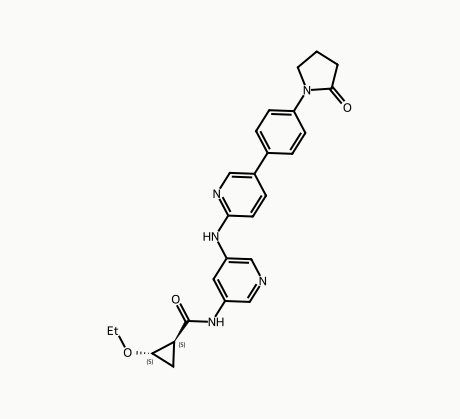 CCO[C@H]1C[C@@H]1C(=O)Nc1cncc(Nc2ccc(-c3ccc(N4CCCC4=O)cc3)cn2)c1